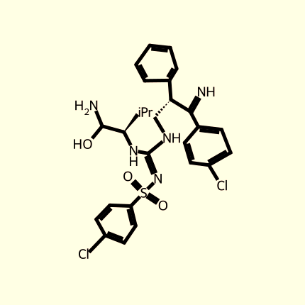 CC(C)[C@@H](N/C(=N\S(=O)(=O)c1ccc(Cl)cc1)NC[C@@H](C(=N)c1ccc(Cl)cc1)c1ccccc1)C(N)O